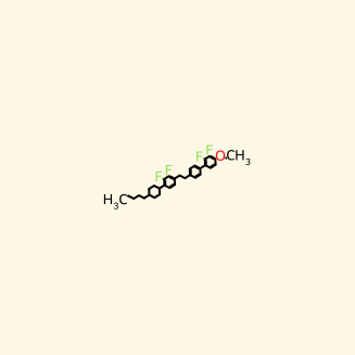 CCCCCC1CCC(c2ccc(CCc3ccc(-c4ccc(OCC)c(F)c4F)cc3)c(F)c2F)CC1